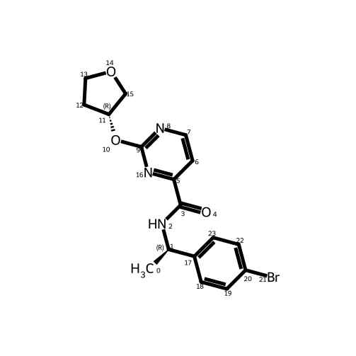 C[C@@H](NC(=O)c1ccnc(O[C@@H]2CCOC2)n1)c1ccc(Br)cc1